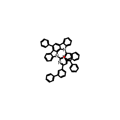 c1ccc(-c2ccc(-n3c4ccccc4c4cc(-c5ccccc5)c5c6ccccc6n(-c6nc(-c7ccccc7)cc(-c7cccc(-c8ccccc8)c7)n6)c5c43)cc2)cc1